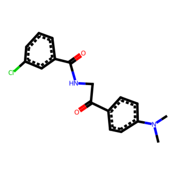 CN(C)c1ccc(C(=O)CNC(=O)c2cccc(Cl)c2)cc1